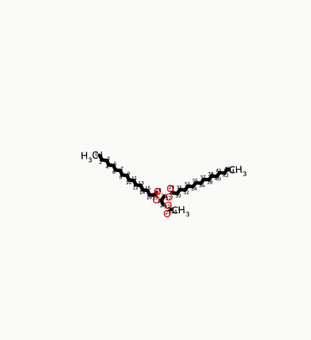 CCCCCCCCCCCCCCCCCC(=O)OC(COC(C)=O)COC(=O)CCCCCCCCCCCCCCC